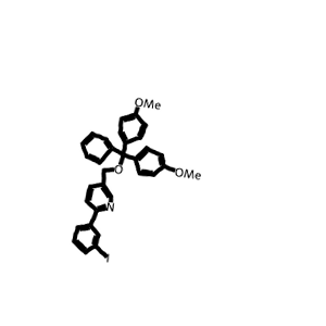 COc1ccc(C(OCc2ccc(-c3cccc(I)c3)nc2)(c2ccccc2)c2ccc(OC)cc2)cc1